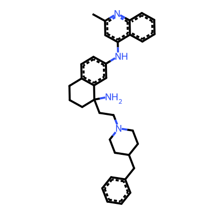 Cc1cc(Nc2ccc3c(c2)C(N)(CCN2CCC(Cc4ccccc4)CC2)CCC3)c2ccccc2n1